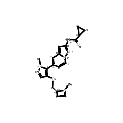 CC(C)N1CC[C@H]1COc1cnn(C)c1-c1ccn2nc(NC(=O)C3CC3)cc2c1